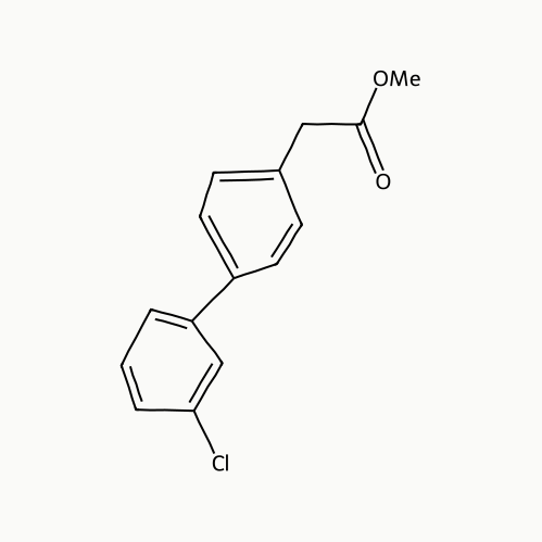 COC(=O)Cc1ccc(-c2cccc(Cl)c2)cc1